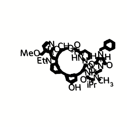 CCn1c(-c2cnccc2COC)c2c3cc(ccc31)-c1cc(O)cc(c1)C[C@H](NC(=O)[C@H](C(C)C)N(C)C(=O)CN1C(=O)[C@@H]3[C@H](C1=O)N3Cc1ccccc1)C(=O)N1CCC[C@H](N1)C(=O)OCC(C)(C)C2